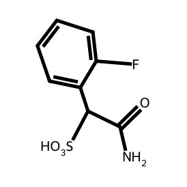 NC(=O)C(c1ccccc1F)S(=O)(=O)O